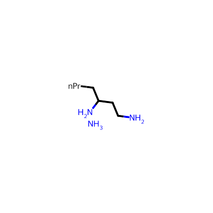 CCCCC(N)CCN.N